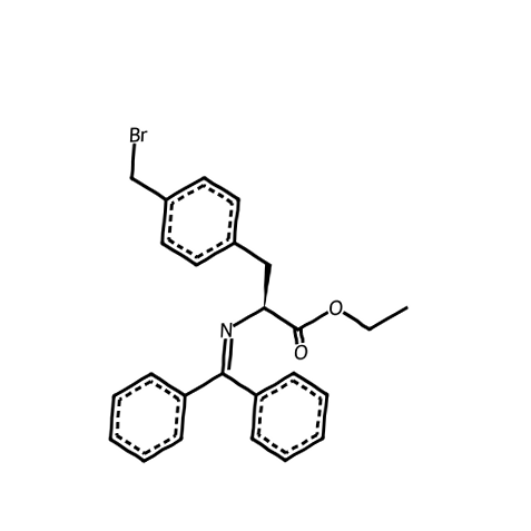 CCOC(=O)[C@H](Cc1ccc(CBr)cc1)N=C(c1ccccc1)c1ccccc1